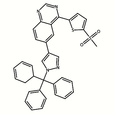 CS(=O)(=O)c1ccc(-c2ncnc3ccc(-c4cnn(C(c5ccccc5)(c5ccccc5)C5C=CC=CC5)c4)cc23)s1